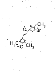 CCc1sc(C(=O)C=Cc2cc(C)c(O)c(C)c2)cc1Br